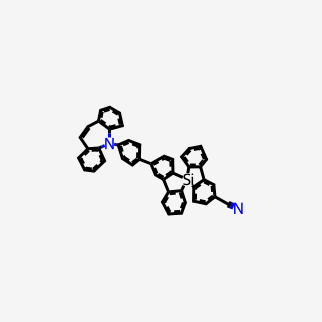 N#Cc1ccc2c(c1)-c1ccccc1[Si]21c2ccccc2-c2cc(-c3ccc(N4c5ccccc5C=Cc5ccccc54)cc3)ccc21